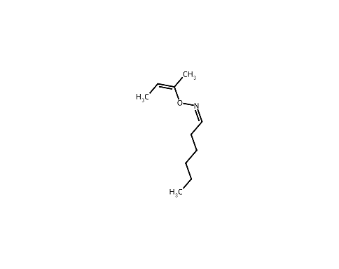 C/C=C(/C)O/N=C\CCCCC